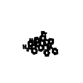 Cc1ccccc1C(c1ccccc1)(c1ccccc1)c1cccc2c1[C@H](C)c1cc(C(C)C)cc3c1B2c1c2c-3cccc2c(-c2ccccc2)n1-c1ccccc1